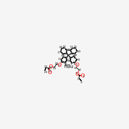 C=CC(=O)OCCOc1ccc(C2(c3ccc(OCCOC(=O)C=C)c(CCCC)c3)c3ccccc3-c3ccccc32)cc1